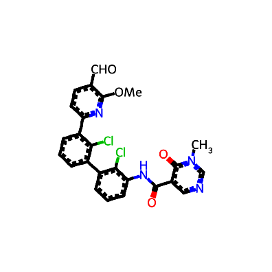 COc1nc(-c2cccc(-c3cccc(NC(=O)c4cncn(C)c4=O)c3Cl)c2Cl)ccc1C=O